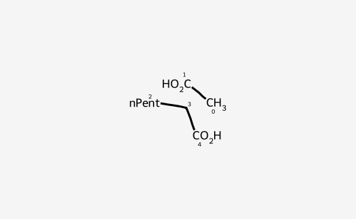 CC(=O)O.CCCCCCC(=O)O